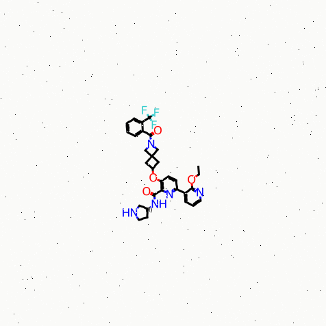 CCOc1ncccc1-c1ccc(OC2CC3(C2)CN(C(=O)c2ccccc2C(F)(F)F)C3)c(C(=O)N[C@@H]2CCNC2)n1